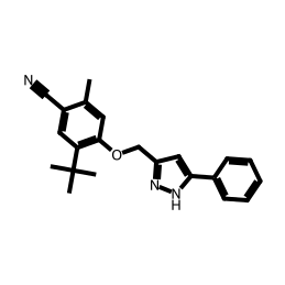 Cc1cc(OCc2cc(-c3ccccc3)[nH]n2)c(C(C)(C)C)cc1C#N